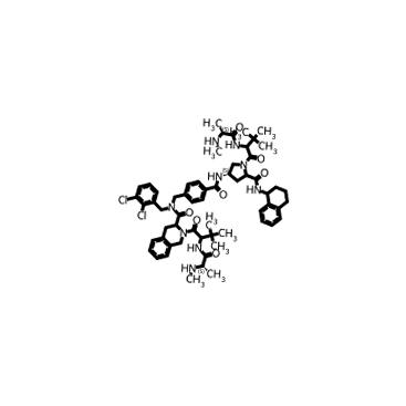 CN[C@@H](C)C(=O)NC(C(=O)N1C[C@@H](NC(=O)c2ccc(CN(Cc3cccc(Cl)c3Cl)C(=O)C3Cc4ccccc4CN3C(=O)C(NC(=O)[C@H](C)NC)C(C)(C)C)cc2)CC1C(=O)NC1CCCc2ccccc21)C(C)(C)C